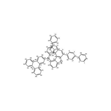 c1ccc(-c2ccc(-c3cc4ccccc4c4c3oc3cccc(N(c5ccc(-c6ccccc6)cc5)c5ccc6c7ccccc7c7ccccc7c6c5)c34)cc2)cc1